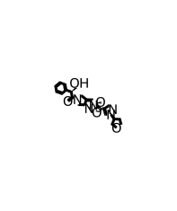 O=C([C@H](CO)c1ccccc1)N1Cc2cn(S(=O)(=O)c3cnn(C4CCOC4)c3)nc2C1